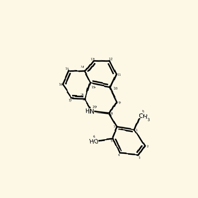 Cc1cccc(O)c1C1Cc2cccc3cccc(c23)N1